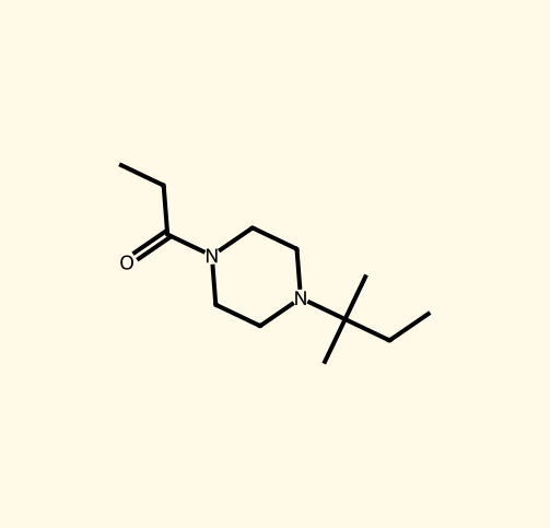 CCC(=O)N1CCN(C(C)(C)CC)CC1